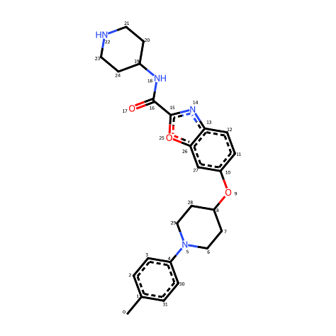 Cc1ccc(N2CCC(Oc3ccc4nc(C(=O)NC5CCNCC5)oc4c3)CC2)cc1